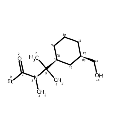 CCC(=O)N(C)C(C)(C)[C@H]1CCC[C@@H](CO)C1